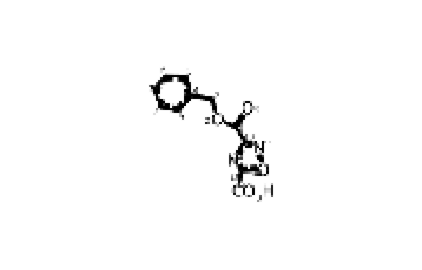 O=C(OCc1ccccc1)c1noc(C(=O)O)n1